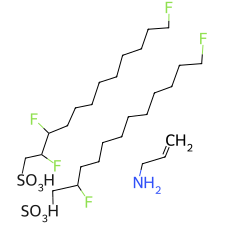 C=CCN.O=S(=O)(O)CC(F)C(F)CCCCCCCCCF.O=S(=O)(O)CC(F)CCCCCCCCCCF